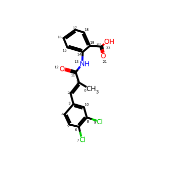 C/C(=C\c1ccc(Cl)c(Cl)c1)C(=O)Nc1ccccc1C(=O)O